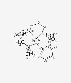 CC(=O)N[C@@H]1CCCC[C@@H]1C(c1ccccc1[N+](=O)[O-])N(C)C.Cl